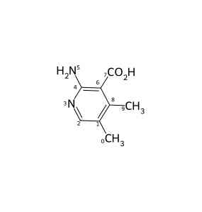 Cc1cnc(N)c(C(=O)O)c1C